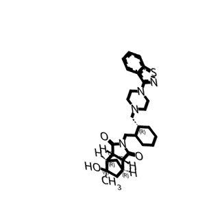 C[C@@]1(O)C[C@H]2C[C@@H]1[C@@H]1C(=O)N(CC3CCCC[C@H]3CN3CCN(c4nsc5ccccc45)CC3)C(=O)[C@H]21